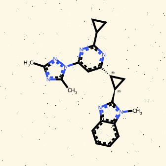 Cc1nc(C)n(-c2cc([C@@H]3C[C@H]3c3nc4ccccc4n3C)nc(C3CC3)n2)n1